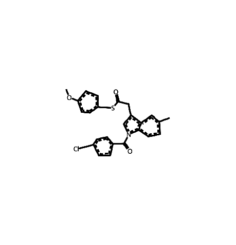 COc1ccc(SC(=O)Cc2cn(C(=O)c3ccc(Cl)cc3)c3ccc(C)cc23)cc1